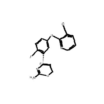 NC1=N[C@H](c2cc(Oc3ncccc3Cl)ccc2F)CCO1